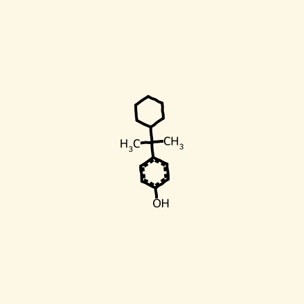 CC(C)(c1ccc(O)cc1)C1CCCCC1